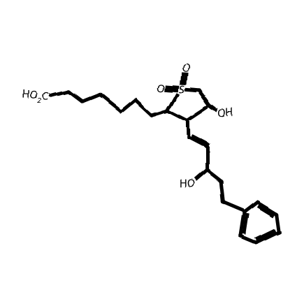 O=C(O)CCCCCCC1C(/C=C/C(O)CCc2ccccc2)C(O)CS1(=O)=O